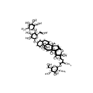 CC(CC[C@@]1(O)OC2C[C@H]3[C@@H]4CCC5C[C@@H](O[C@@H]6O[C@H](CO)[C@@H](O[C@@H]7O[C@@H](C)[C@H](O)[C@@H](O)[C@H]7O)[C@H](O)[C@H]6O)CC[C@]5(C)[C@H]4CC[C@]3(C)C2[C@@H]1C)CO[C@@H]1O[C@H](CO)[C@@H](O)[C@H](O)[C@H]1O